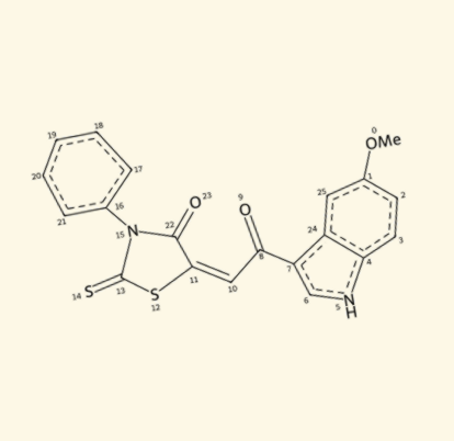 COc1ccc2[nH]cc(C(=O)C=C3SC(=S)N(c4ccccc4)C3=O)c2c1